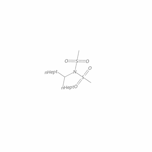 CCCCCCCC(CCCCCCC)N(S(C)(=O)=O)S(C)(=O)=O